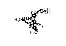 COc1ccc(N(C(=O)OCCCCCC(C)C)c2ccnc(Nc3ccc(OCCN4CCN(C(C)C)CC4)c(F)c3)n2)c(OC)c1